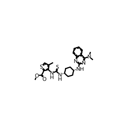 COC(=O)c1scc(C)c1NC(=S)N[C@H]1CC[C@@H](Nc2nc(N(C)C)c3ccccc3n2)CC1